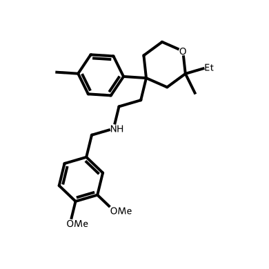 CCC1(C)CC(CCNCc2ccc(OC)c(OC)c2)(c2ccc(C)cc2)CCO1